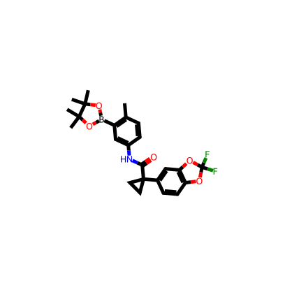 Cc1ccc(NC(=O)C2(c3ccc4c(c3)OC(F)(F)O4)CC2)cc1B1OC(C)(C)C(C)(C)O1